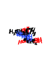 CN(C)c1nnc(NCCc2ccc(ON(C)c3nnc(NCc4ccc(O)c(ON(C)c5nnc(Nc6ccc(O)c(O)c6)[nH]5)c4)[nH]3)c(O)c2)[nH]1